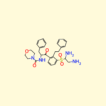 NCC(N)S(=O)(=O)c1cccc(C(=O)C(Cc2ccccc2)NC(=O)N2CCOCC2)c1CCc1ccccc1